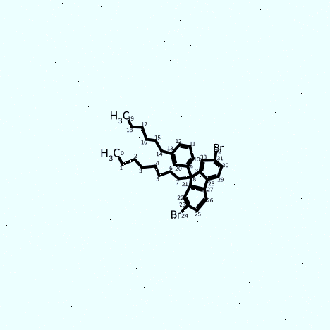 CCCCCCCCC1(c2cccc(CCCCCC)c2)c2cc(Br)ccc2-c2ccc(Br)cc21